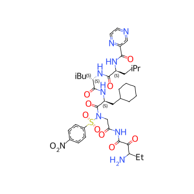 CCC(N)C(=O)C(=O)NC(=O)CN(C(=O)[C@H](CC1CCCCC1)NC(=O)[C@@H](NC(=O)[C@H](CC(C)C)NC(=O)c1cnccn1)[C@@H](C)CC)S(=O)(=O)c1ccc([N+](=O)[O-])cc1